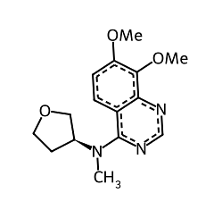 COc1ccc2c(N(C)[C@H]3CCOC3)ncnc2c1OC